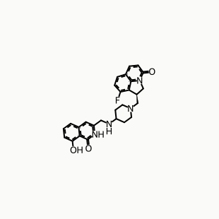 O=c1[nH]c(CNC2CCN(C[C@@H]3Cn4c(=O)ccc5ccc(F)c3c54)CC2)cc2cccc(O)c12